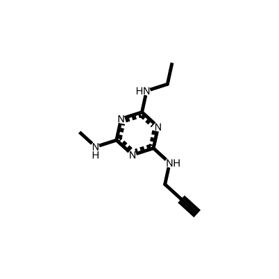 C#CCNc1nc(NC)nc(NCC)n1